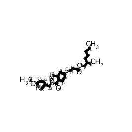 CCCCCC(CC)COC(=O)CCSc1ccc2c(=O)n(Cc3ccc(OC)nc3)ncc2c1